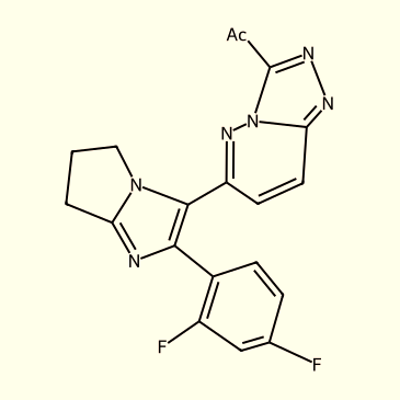 CC(=O)c1nnc2ccc(-c3c(-c4ccc(F)cc4F)nc4n3CCC4)nn12